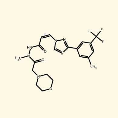 Cc1cc(-c2ncn(/C=C\C(=O)NN(C)C(=O)CN3CCOCC3)n2)cc(C(F)(F)F)c1